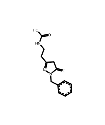 O=C(O)NCCC1=NN(Cc2ccccc2)C(=O)C1